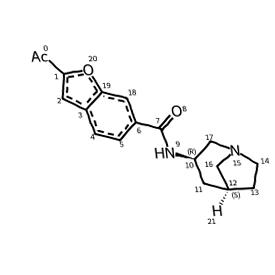 CC(=O)c1cc2ccc(C(=O)N[C@@H]3C[C@@H]4CCN(C4)C3)cc2o1